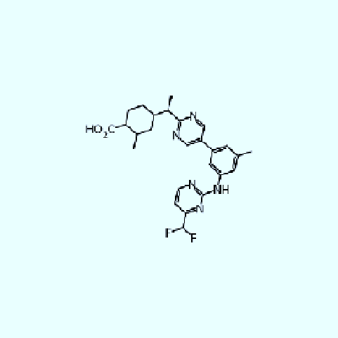 Cc1cc(Nc2nccc(C(F)F)n2)cc(-c2cnc([C@H](C)C3CCC(C(=O)O)C(C)C3)nc2)c1